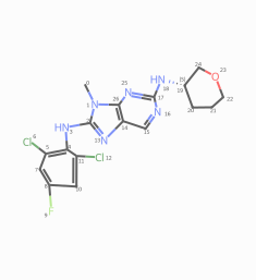 Cn1c(Nc2c(Cl)cc(F)cc2Cl)nc2cnc(N[C@H]3CCCOC3)nc21